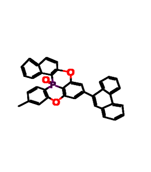 Cc1ccc2c(c1)Oc1cc(-c3cc4ccccc4c4ccccc34)cc3c1P2(=O)c1c(ccc2ccccc12)O3